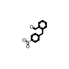 O=Cc1ccccc1Cc1ccc([N+](=O)[O-])cc1